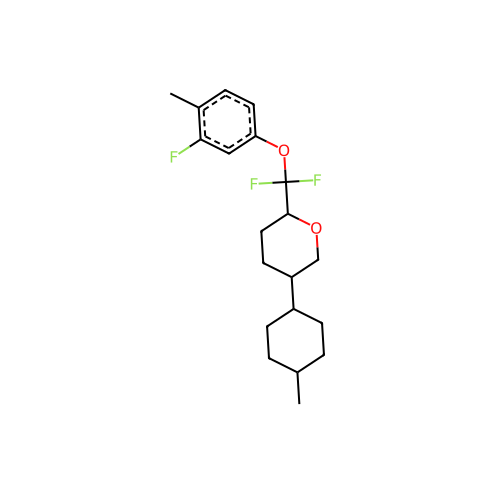 Cc1ccc(OC(F)(F)C2CCC(C3CCC(C)CC3)CO2)cc1F